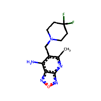 Cc1nc2nonc2c(N)c1CN1CCC(F)(F)CC1